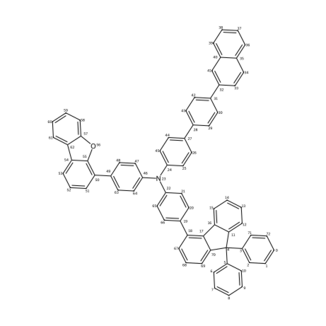 c1ccc(C2(c3ccccc3)c3ccccc3-c3c(-c4ccc(N(c5ccc(-c6ccc(-c7ccc8ccccc8c7)cc6)cc5)c5ccc(-c6cccc7c6oc6ccccc67)cc5)cc4)cccc32)cc1